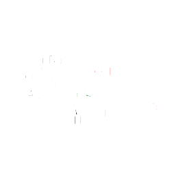 CCCCC(=O)O[C@]1(C(C)=O)[C@@H](C)C[C@H]2[C@@H]3CCC4=CC(=O)C=C[C@]4(C)[C@@]3(Cl)[C@@H](O)C[C@@]21C